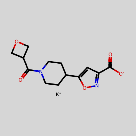 O=C([O-])c1cc(C2CCN(C(=O)C3COC3)CC2)on1.[K+]